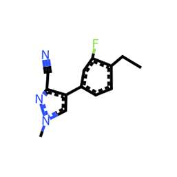 CCc1ccc(-c2cn(C)nc2C#N)cc1F